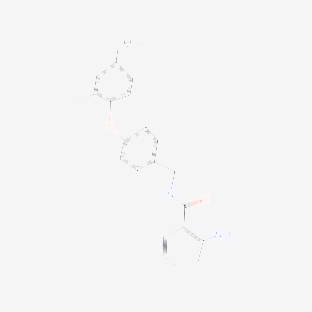 CC/C=C\C(C(=O)NCc1ccc(Oc2ccc(SC)cc2C)cc1)=C(/C)N